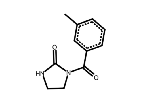 Cc1cccc(C(=O)N2CCNC2=O)c1